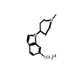 CN1CCC(n2ccc3ccc(C(=O)O)cc32)CC1